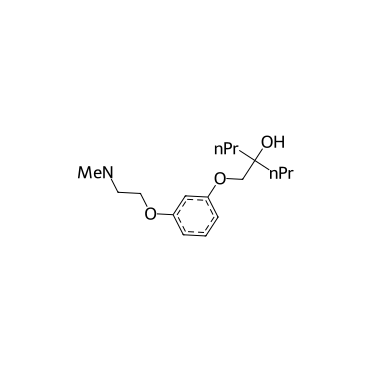 CCCC(O)(CCC)COc1cccc(OCCNC)c1